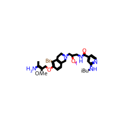 CCC(C)Nc1cc(C(=O)NCC(CN2CCc3c(ccc(OC/C(OC)=C(\C)N)c3Br)C2)OI)ccn1